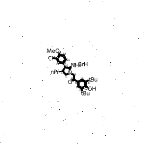 Br.CCC[C@@H]1CN(CC(=O)c2cc(C(C)(C)C)c(O)c(C(C)(C)C)c2)C(=N)[C@@H]1c1ccc(OC)c(Cl)c1